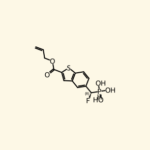 C=CCOC(=O)c1cc2cc([C@H](F)[PH](O)(O)O)ccc2s1